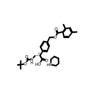 C1CCNCC1.Cc1ccc(C(=O)OCc2ccc([C@@H](CNC(=O)OC(C)(C)C)C(=O)O)cc2)c(C)c1